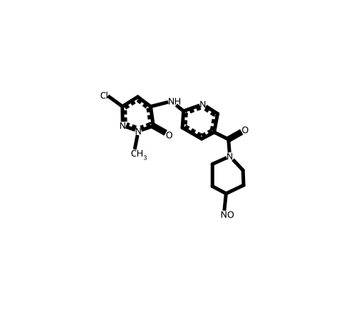 Cn1nc(Cl)cc(Nc2ccc(C(=O)N3CCC(N=O)CC3)cn2)c1=O